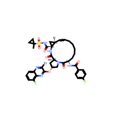 CCc1nc2cccc(F)c2nc1O[C@@H]1C[C@H]2C(=O)N[C@]3(C(=O)NS(=O)(=O)C4(C)CC4)C[C@H]3/C=C\CCCCC[C@H](NC(=O)c3ccc(F)cc3)C(=O)N2C1